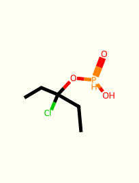 CCC(Cl)(CC)O[PH](=O)O